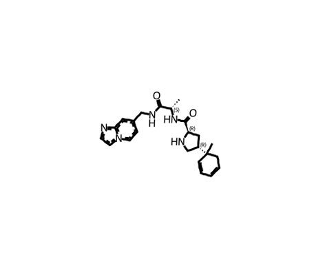 C[C@H](NC(=O)[C@H]1C[C@H](C2(C)C=CC=CC2)CN1)C(=O)NCc1ccn2ccnc2c1